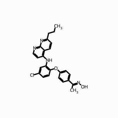 CCCc1ccc2c(Nc3cc(Cl)ccc3Oc3ccc(C(C)=NO)cc3)ccnc2n1